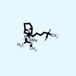 C=N/C(C)=N\C(=C\CCCC(C)(F)F)N1C2CCC1CC(OC)C2